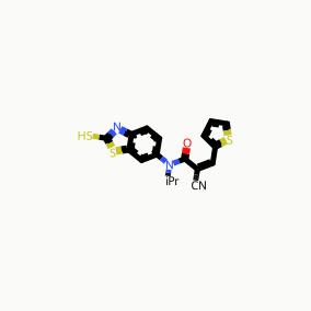 CC(C)N(C(=O)/C(C#N)=C\c1cccs1)c1ccc2nc(S)sc2c1